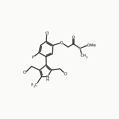 CON(C)C(=O)COc1cc(-c2c(CCl)[nH]c(C(F)(F)F)c2CCl)c(F)cc1Cl